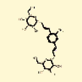 Cc1cc(/C=C/C[C@H]2O[C@H](CO)[C@@H](O)[C@H](O)[C@@H]2O)ccc1/C=C/C[C@H]1O[C@H](CO)[C@@H](O)[C@H](O)[C@H]1O